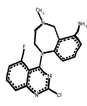 Bc1cccc2c1CN(C)CCN2c1nc(Cl)nc2cccc(F)c12